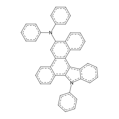 c1ccc(N(c2ccccc2)c2cc3c4ccccc4c4c(c5ccccc5n4-c4ccccc4)c3c3ccccc23)cc1